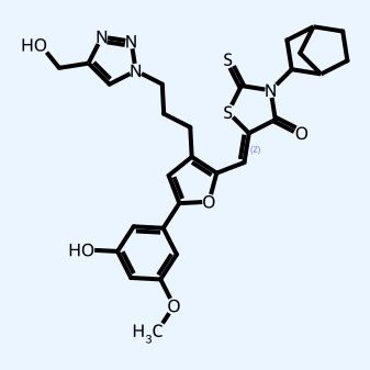 COc1cc(O)cc(-c2cc(CCCn3cc(CO)nn3)c(/C=C3\SC(=S)N(C4CC5CCC4C5)C3=O)o2)c1